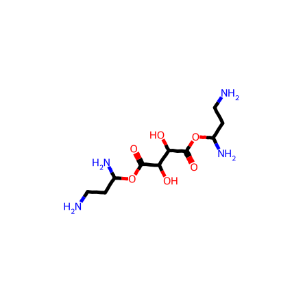 NCCC(N)OC(=O)C(O)C(O)C(=O)OC(N)CCN